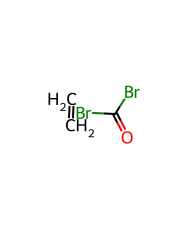 C=C.O=C(Br)Br